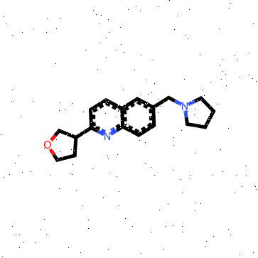 c1cc2nc(C3CCOC3)ccc2cc1CN1CCCC1